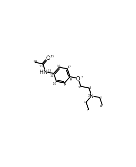 CCN(CC)CCOc1ccc(NC(C)=O)cc1